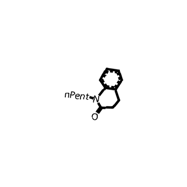 CCCCCN1C(=O)CCc2ccccc21